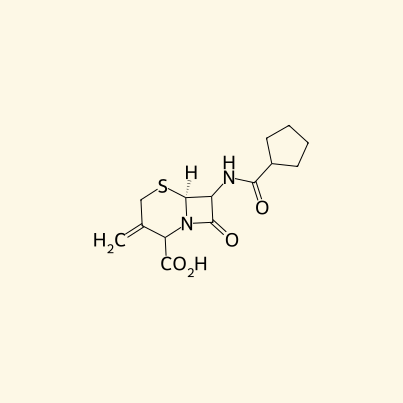 C=C1CS[C@H]2C(NC(=O)C3CCCC3)C(=O)N2C1C(=O)O